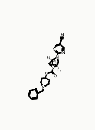 N#Cc1cnc(N2C[C@@H]3C[C@H]2CN3C(=O)OC2CCN(Cc3ccccc3)CC2)nc1